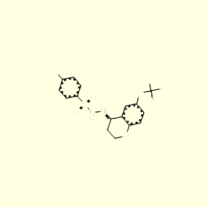 Cc1ccc(S(=O)(=O)NN=C2CCOc3ccc(OC(F)(F)F)cc32)cc1